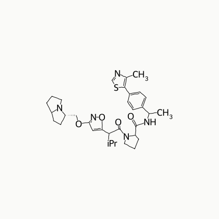 Cc1ncsc1-c1ccc(C(C)NC(=O)C2CCCN2C(=O)C(c2cc(OC[C@@H]3CCC4CCCN43)no2)C(C)C)cc1